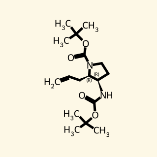 C=CC[C@@H]1[C@H](NC(=O)OC(C)(C)C)CCN1C(=O)OC(C)(C)C